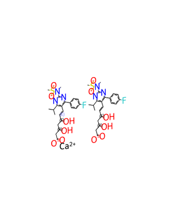 CC(C)c1nc(N(C)S(C)(=O)=O)nc(-c2ccc(F)cc2)c1/C=C/[C@@H](O)C[C@@H](O)CC(=O)[O-].CC(C)c1nc(N(C)S(C)(=O)=O)nc(-c2ccc(F)cc2)c1C=C[C@@H](O)C[C@@H](O)CC(=O)[O-].[Ca+2]